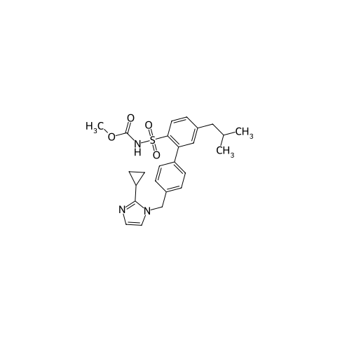 COC(=O)NS(=O)(=O)c1ccc(CC(C)C)cc1-c1ccc(Cn2ccnc2C2CC2)cc1